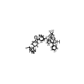 CCn1nnnc1C1CCN(C(=O)c2ccc(C[C@@H]3CC[C@H]([C@H](O)c4ccccc4)N3C(=O)OC(C)(C)C)cn2)CC1